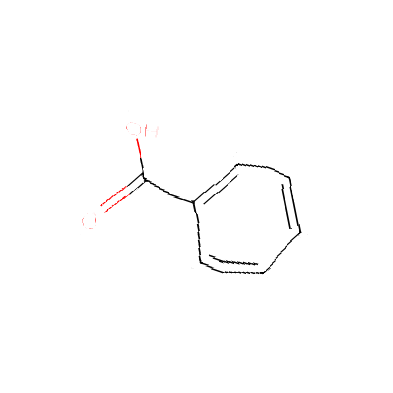 O=C(O)c1[c]c[c]cc1